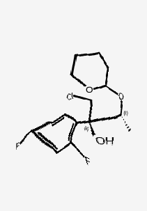 C[C@@H](OC1CCCCO1)[C@@](O)(CCl)c1ccc(F)cc1F